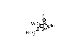 CCCCC1(CC)CN(c2ccc(F)cc2)c2cc(OC)c(CSCC(=O)OCC)cc2S(=O)(=O)C1